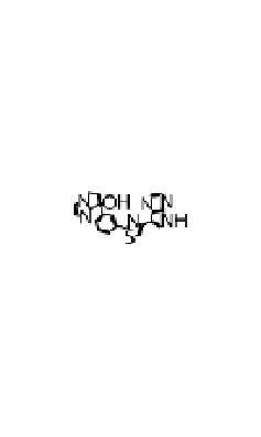 OC1(c2cccc(-c3nc(-c4c[nH]c5nccnc45)cs3)c2)CCn2ccnc21